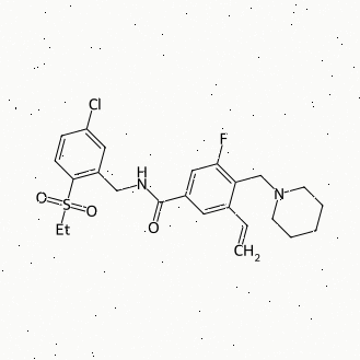 C=Cc1cc(C(=O)NCc2cc(Cl)ccc2S(=O)(=O)CC)cc(F)c1CN1CCCCC1